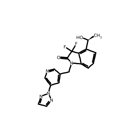 C[C@H](O)c1cccc2c1C(F)(F)C(=O)N2Cc1cncc(-n2nccn2)c1